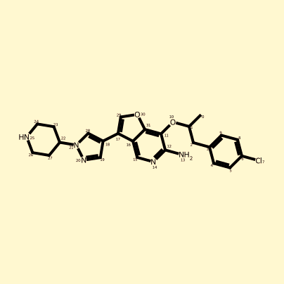 CC(Cc1ccc(Cl)cc1)Oc1c(N)ncc2c(-c3cnn(C4CCNCC4)c3)coc12